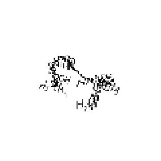 Cc1ncsc1-c1ccc([C@H](CC(=O)NCCCCCCCCCNC(=O)COc2ccc3c(c2)[C@H](NC(=O)c2cc(-c4ccc(C(=O)N(C)C)c(O)c4)on2)CC3)NC(=O)[C@@H]2C[C@@H](O)CN2C(=O)[C@@H](NC(=O)C2(F)CC2)C(C)(C)C)cc1